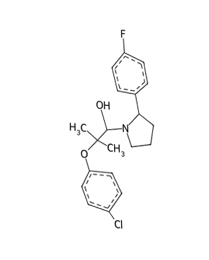 CC(C)(Oc1ccc(Cl)cc1)C(O)N1CCCC1c1ccc(F)cc1